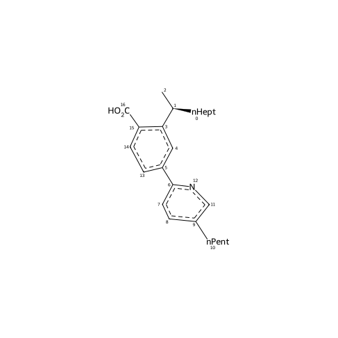 CCCCCCC[C@H](C)c1cc(-c2ccc(CCCCC)cn2)ccc1C(=O)O